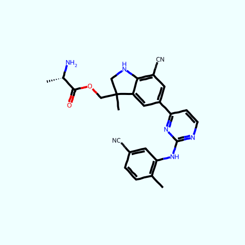 Cc1ccc(C#N)cc1Nc1nccc(-c2cc(C#N)c3c(c2)C(C)(COC(=O)[C@H](C)N)CN3)n1